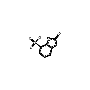 O=c1[nH]c2c(S(=O)(=O)Cl)cccc2o1